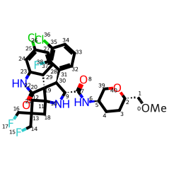 COC[C@@H]1CC[C@@H](NC(=O)[C@@H]2NC3(CC(CF)(CF)C3)[C@@]3(C(=O)NC4C=C(Cl)C=CC43)[C@H]2c2cccc(Cl)c2F)CO1